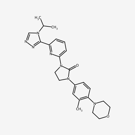 Cc1cc(N2CCN(c3cccc(-c4nncn4C(C)C)n3)C2=O)ccc1N1CCOCC1